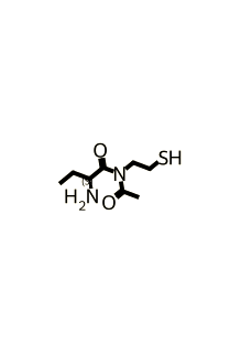 CC[C@H](N)C(=O)N(CCS)C(C)=O